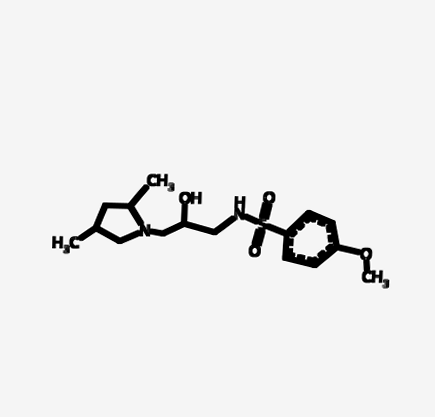 COc1ccc(S(=O)(=O)NCC(O)CN2CC(C)CC2C)cc1